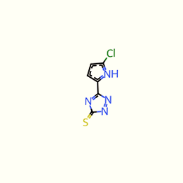 S=C1N=NC(c2ccc(Cl)[nH]2)=N1